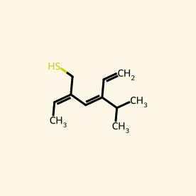 C=C/C(=C\C(=C/C)CS)C(C)C